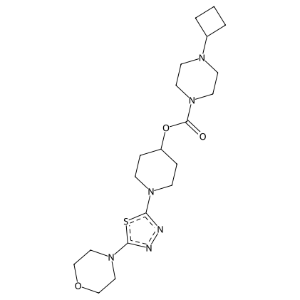 O=C(OC1CCN(c2nnc(N3CCOCC3)s2)CC1)N1CCN(C2CCC2)CC1